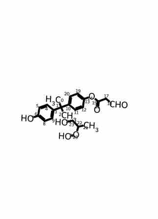 CC(C)(c1ccc(O)cc1)c1ccc(OC(=O)CC=O)cc1.CC(CO)OO